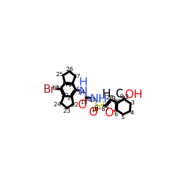 CC1(O)CCCc2oc([S+]([O-])NC(=O)Nc3c4c(c(Br)c5c3CCC5)CCC4)cc21